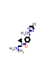 CCc1cnc(N(C)C[C@H]2CC[C@H](C(=O)N(CCN(C)C)C3CC3)CC2)nc1